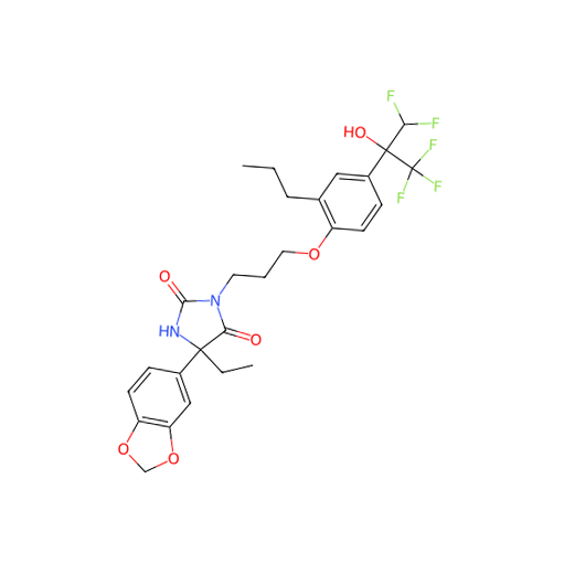 CCCc1cc(C(O)(C(F)F)C(F)(F)F)ccc1OCCCN1C(=O)NC(CC)(c2ccc3c(c2)OCO3)C1=O